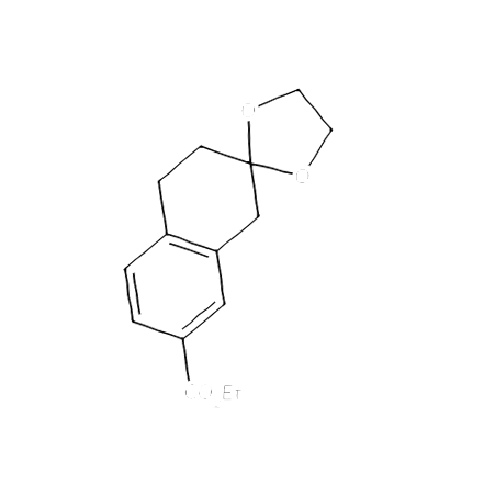 CCOC(=O)c1ccc2c(c1)CC1(CC2)OCCO1